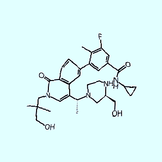 Cc1c(F)cc(C(=O)NC2CC2)cc1-c1ccc2c(=O)n(CC(C)(C)CO)cc([C@@H](C)N3CCN[C@@H](CO)C3)c2c1